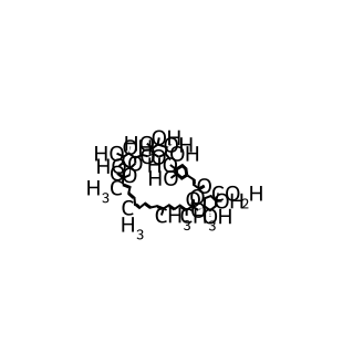 CC(=C/C=C/C=C(C)/C=C/C=C(\C)C(=O)O[C@H]1[C@@H](O)C[C@](O)(C(=O)O)C[C@H]1OC(=O)/C=C/c1ccc(O)c(O)c1)/C=C/C=C(\C)C(=O)O[C@@H]1OC(CO[C@@H]2OC(CO)[C@@H](O)C(O)C2O)[C@@H](O)C(O)C1O